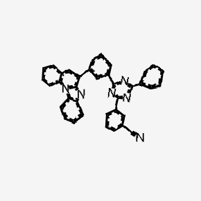 N#Cc1cccc(-c2nc(-c3ccccc3)nc(-c3cccc(-c4cc5ccccc5n5c4nc4ccccc45)c3)n2)c1